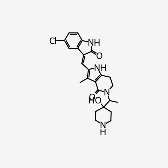 Cc1c(C=C2C(=O)Nc3ccc(Cl)cc32)[nH]c2c1C(=O)N(C(C)C1(O)CCNCC1)CC2